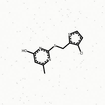 Cc1cc(O)nc(SCc2sccc2Cl)n1